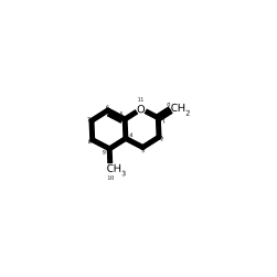 C=C1CCC2C(=CCCC2C)O1